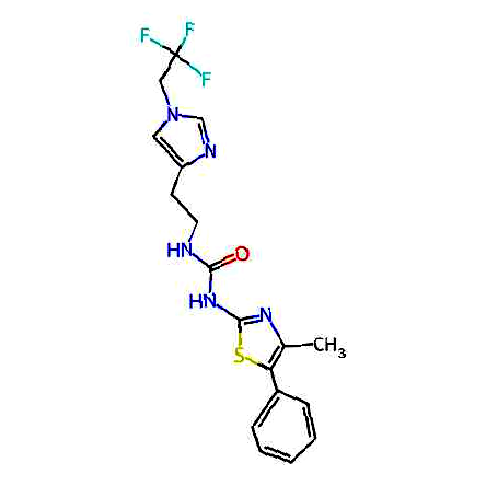 Cc1nc(NC(=O)NCCc2cn(CC(F)(F)F)cn2)sc1-c1ccccc1